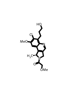 COCC(=O)N1Cc2cnc3c(CCCO)c(Cl)c(OC)cc3c2[C@@H]1C